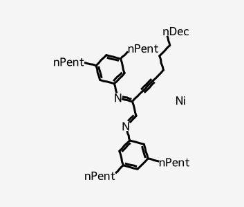 CCCCCCCCCCCCCC#CC(C=Nc1cc(CCCCC)cc(CCCCC)c1)=Nc1cc(CCCCC)cc(CCCCC)c1.[Ni]